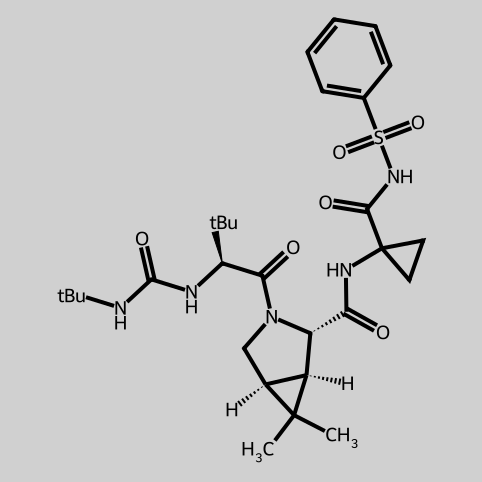 CC(C)(C)NC(=O)N[C@H](C(=O)N1C[C@H]2[C@@H]([C@H]1C(=O)NC1(C(=O)NS(=O)(=O)c3ccccc3)CC1)C2(C)C)C(C)(C)C